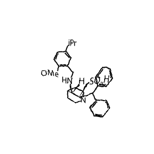 COc1ccc(C(C)C)cc1CN[C@H]1C2CCN(CC2)[C@@]1(CS(=O)(=O)O)C(c1ccccc1)c1ccccc1